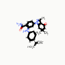 CC(=O)OC(C(=O)O)[C@H]1CC[C@H](Nc2cc(-n3nc(C)c4c3CC(C)(C)CC4=O)ccc2C(N)=O)CC1